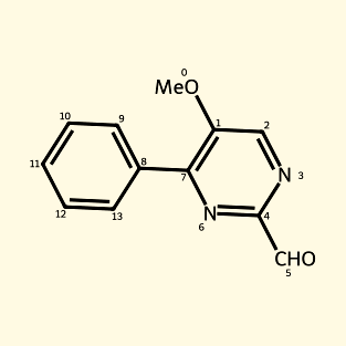 COc1cnc(C=O)nc1-c1ccccc1